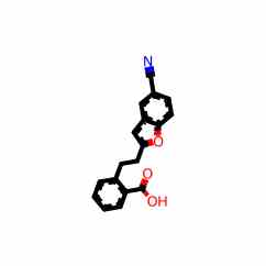 N#Cc1ccc2oc(CCc3ccccc3C(=O)O)cc2c1